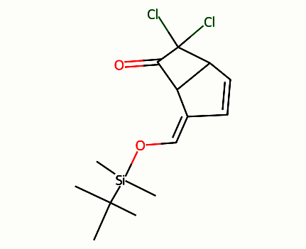 CC(C)(C)[Si](C)(C)OC=C1C=CC2C1C(=O)C2(Cl)Cl